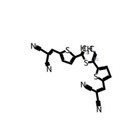 C=C(S/C(=C\C)c1ccc(C=C(C#N)C#N)s1)c1ccc(C=C(C#N)C#N)s1